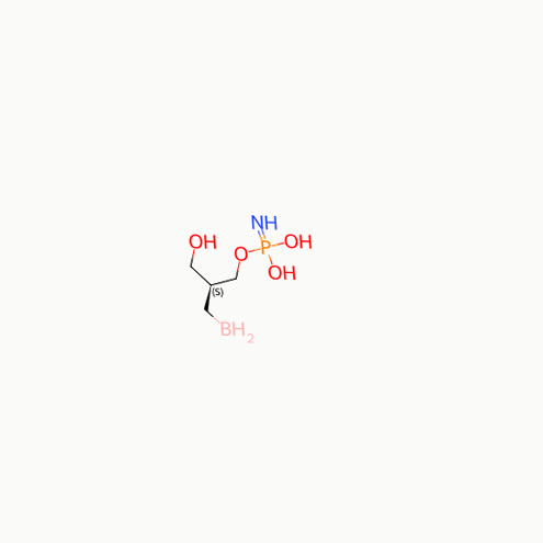 BC[C@@H](CO)COP(=N)(O)O